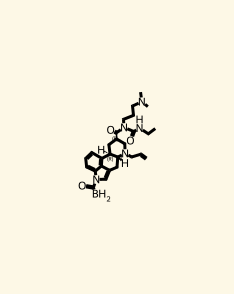 BC(=O)n1cc2c3c(cccc31)[C@H]1C[C@@H](C(=O)N(CCCN(C)C)C(=O)NCC)CN(CC=C)[C@@H]1C2